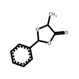 CC1OC(c2ccccc2)OC1=O